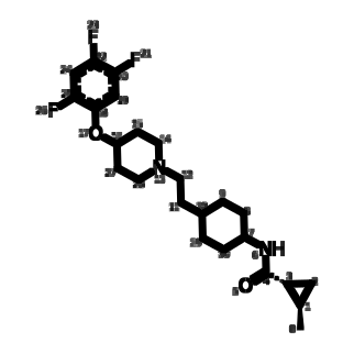 C[C@@H]1C[C@H]1C(=O)NC1CCC(CCN2CCC(Oc3cc(F)c(F)cc3F)CC2)CC1